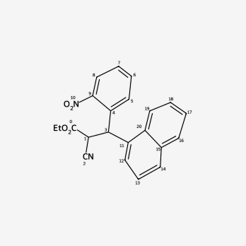 CCOC(=O)C(C#N)C(c1ccccc1[N+](=O)[O-])c1cccc2ccccc12